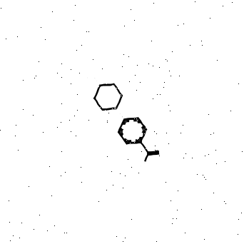 CC(=S)c1ccc([C@H]2CC[C@@H](C)CC2)cc1